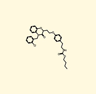 CCCCOC(=O)NCCc1ccc(OCCC2Oc3ccccc3N(Cc3ccccc3Cl)C2=O)cc1